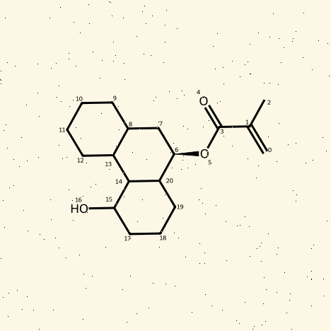 C=C(C)C(=O)O[C@@H]1CC2CCCCC2C2C(O)CCCC21